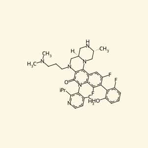 Cc1ccnc(C(C)C)c1-n1c(=O)c2c(c3cc(F)c(-c4c(O)cccc4F)c(F)c31)N1C[C@@H](C)NC[C@@H]1CN2CCCN(C)C